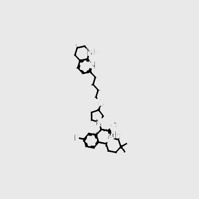 CC1(C)CCC(c2ccc(F)cc2C(C(=O)O)N2CCC(OCCCCc3ccc4c(n3)NCCC4)C2)OC1